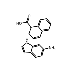 Nc1ccc2cc[nH]c2c1.O=C(O)N1CC=Cc2ccccc21